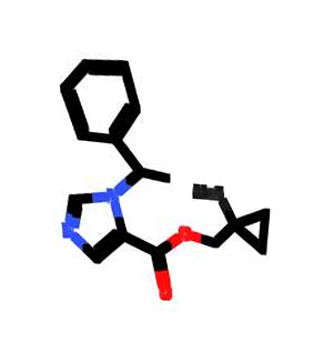 CSC1(COC(=O)c2cncn2C(C)c2ccccc2)CC1